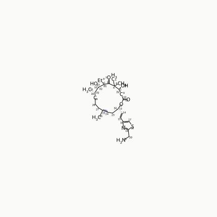 CC[C@H]1C(=O)C(C)(C)[C@@H](O)CC(=O)O[C@H](C=Cc2csc(CN)n2)C/C=C(/C)CCC[C@H](C)[C@@H]1O